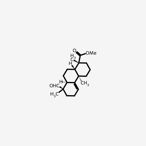 COC(=O)[C@]1(C)CCC[C@@]2(C)C3=CCC[C@@](C)(C=O)[C@H]3CC[C@H]12